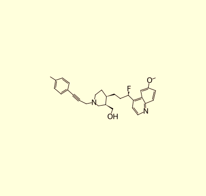 COc1ccc2nccc([C@H](F)CC[C@@H]3CCN(CC#Cc4ccc(C)cc4)C[C@@H]3CO)c2c1